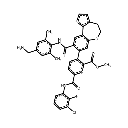 COC(=O)c1nc(C(=O)Nc2cccc(Cl)c2F)ccc1-c1cc2c(cc1C(=O)Nc1c(C)cc(CN)cc1C)-c1sccc1CCO2